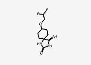 O=C1NC(=P)C2(CCC(OCC(F)F)CC2)N1